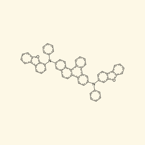 c1ccc(N(c2ccc3c(c2)oc2ccccc23)c2ccc3c(c2)c2ccccc2c2c4ccc(N(c5ccccc5)c5cccc6c5oc5ccccc56)cc4ccc32)cc1